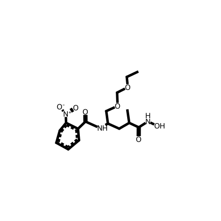 CCOCOCC(CC(C)C(=O)NO)NC(=O)c1ccccc1[N+](=O)[O-]